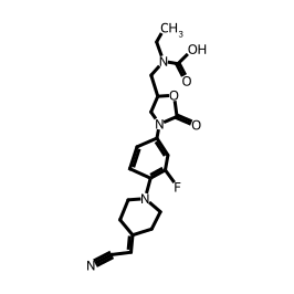 CCN(CC1CN(c2ccc(N3CCC(=CC#N)CC3)c(F)c2)C(=O)O1)C(=O)O